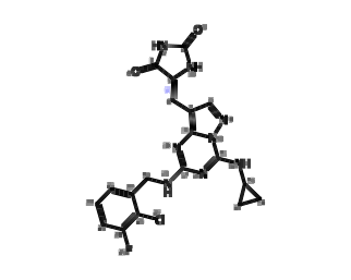 O=C1NC(=O)/C(=C/c2cnn3c(NC4CC4)nc(NCc4cccc(F)c4Cl)nc23)N1